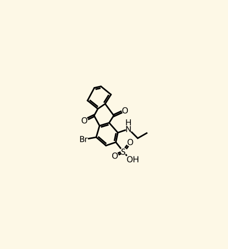 CCNc1c(S(=O)(=O)O)cc(Br)c2c1C(=O)c1ccccc1C2=O